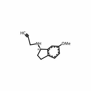 C#CCN[C@@H]1CCc2ccc(OC)cc21